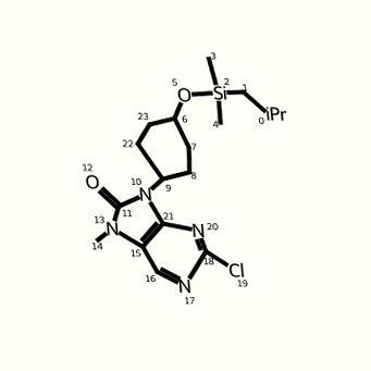 CC(C)C[Si](C)(C)OC1CCC(n2c(=O)n(C)c3cnc(Cl)nc32)CC1